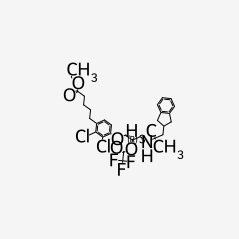 CCOC(=O)CCCCc1ccc(OC[C@@H](CNC(C)(C)CC2Cc3ccccc3C2)OC(=O)C(F)(F)F)c(Cl)c1Cl